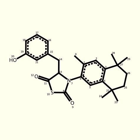 Cc1cc2c(cc1N1C(=O)SC(=O)C1Cc1cccc(O)c1)C(C)(C)CCC2(C)C